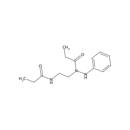 CCC(=O)NCCN(Nc1ccccc1)C(=O)CC